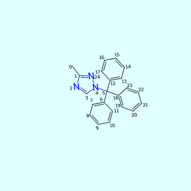 Cc1ncn(C(c2ccccc2)(c2ccccc2)c2ccccc2)n1